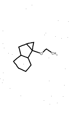 CCOC12CC1CC1CCCCC12